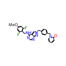 COc1cc(F)c(CNc2ncnc3nn(Cc4ccc(Cn5ccccc5=O)cc4)cc23)c(F)c1